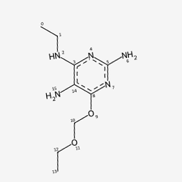 CCNc1nc(N)nc(OCOCC)c1N